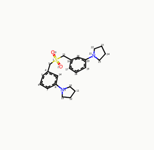 O=S(=O)(Cc1cccc(N2CCCC2)c1)Cc1cccc(N2CCCC2)c1